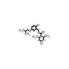 CC(C)COc1ccc(F)c(COC(=O)N2[C@H](C)CNC[C@@H]2C)c1